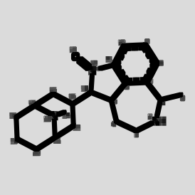 CC1NCCC2c3c1cccc3[N+](=O)C2C1CC2CCCC(C1)N2C